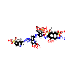 Nc1cc2c(O)c(/N=N/c3ccc(/N=N/c4ccc(/N=N/c5cnc6ccc(S(=O)(=O)O)cc6c5)c5ccc(C(=O)O)nc45)c4ccc(S(=O)(=O)O)cc34)c(S(=O)(=O)O)cc2cc1S(=O)(=O)O